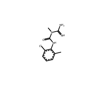 Cc1cccc(Cl)c1NC(=O)N(C)C(=N)N